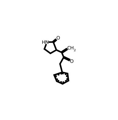 C=C(C(=O)Cc1ccccc1)C1CCNC1=O